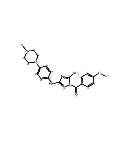 CC(C)Oc1ccc(C(=O)n2nc(Nc3ccc(N4CCN(C)CC4)cc3)nc2N)cc1